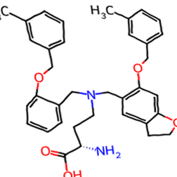 Cc1cccc(COc2ccccc2CN(CC[C@H](N)C(=O)O)Cc2cc3c(cc2OCc2cccc(C)c2)OCC3)c1